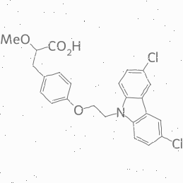 COC(Cc1ccc(OCCn2c3ccc(Cl)cc3c3cc(Cl)ccc32)cc1)C(=O)O